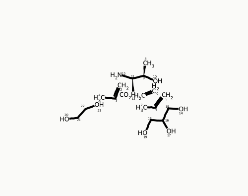 C=C.C=CC.C=CC.C[C@@H](O)[C@H](N)C(=O)O.OCC(O)CO.OCCO